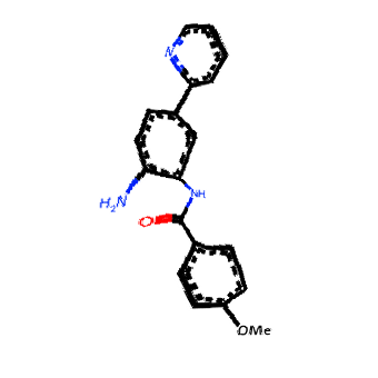 COc1ccc(C(=O)Nc2cc(-c3ccccn3)ccc2N)cc1